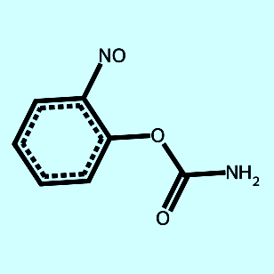 NC(=O)Oc1ccccc1N=O